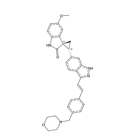 COc1ccc2c(c1)[C@@]1(C[C@@H]1c1ccc3c(C=Cc4ccc(CN5CCOCC5)cc4)n[nH]c3c1)C(=O)N2